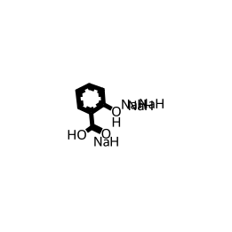 O=C(O)c1ccccc1O.[NaH].[NaH].[NaH].[NaH]